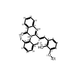 CCOc1cccc(/C=C/c2nc3ccccc3c(=O)n2-c2c(F)cccc2F)c1O